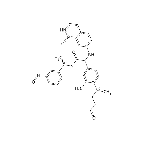 Cc1cc(C(Nc2ccc3cc[nH]c(=O)c3c2)C(=O)N[C@H](C)c2cccc(N=O)c2)ccc1[C@@H](C)CCC=O